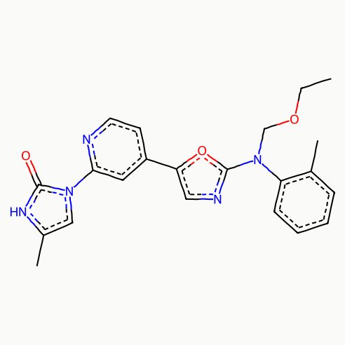 CCOCN(c1ncc(-c2ccnc(-n3cc(C)[nH]c3=O)c2)o1)c1ccccc1C